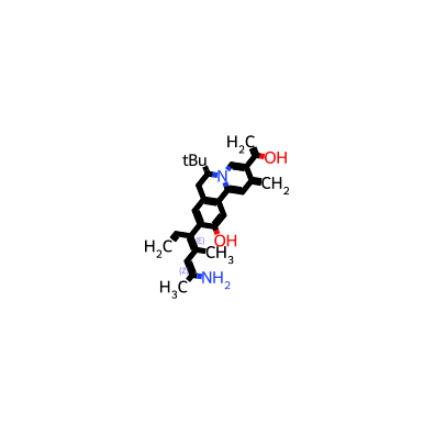 C=C/C(=C(C)\C=C(\C)N)c1cc2c(cc1O)C1=CC(=C)C(C(=C)O)=CN1C(C(C)(C)C)C2